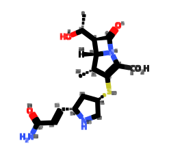 C[C@@H](O)[C@H]1C(=O)N2C(C(=O)O)=C(S[C@@H]3CN[C@H](/C=C/C(N)=O)C3)[C@H](C)[C@H]12